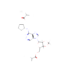 CC(C)C(=O)OCC1OC(n2cnc3c(N[C@H]4CCC[C@@H]4OC(=O)C(C)C)nncc32)[C@@H]2OC(C)(C)O[C@H]12